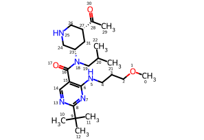 COCCCNc1nc(C(C)(C)C)ncc1C(=O)N(CC(C)C)[C@@H]1CNC[C@H](C(C)=O)C1